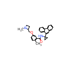 Cc1ccc(OCC2CCN2C)cc1C(=O)NC1(c2cc3ccccc3c3ccccc23)CC1